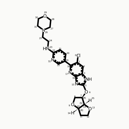 Clc1cc2[nH]c(O[C@@H]3CO[C@@H]4CCO[C@@H]43)nc2nc1-c1ccc(NCCN2CCOCC2)nc1